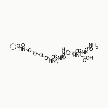 CC(C)C(NC(=O)CCOCCOCCOCCOCCNC(=O)COC1CCCCCCC1)C(=O)NCC(=O)Nc1ccc(COC(=O)NC(CCC(=O)O)C(=O)NCOCC(N)=O)cc1